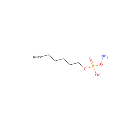 CCCCCCCCCCCOP(=O)(O)ON